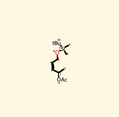 CC(=O)O[C@H](C)/C=C\CO[Si](C)(C)C(C)(C)C